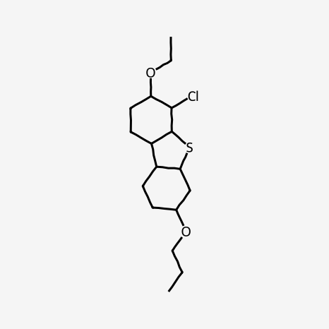 CCCOC1CCC2C(C1)SC1C(Cl)C(OCC)CCC21